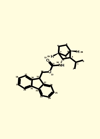 CC(C)C1[C@H]2CC[C@H](C2)[C@H]1NC(=O)OCC1c2ccccc2-c2ccccc21